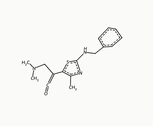 Cc1nc(NCc2ccccc2)sc1C(=C=O)CN(C)C